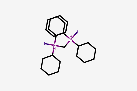 I[PH](C[PH](I)(C1CCCCC1)C1CCCCC1)(C1CCCCC1)C1CCCCC1